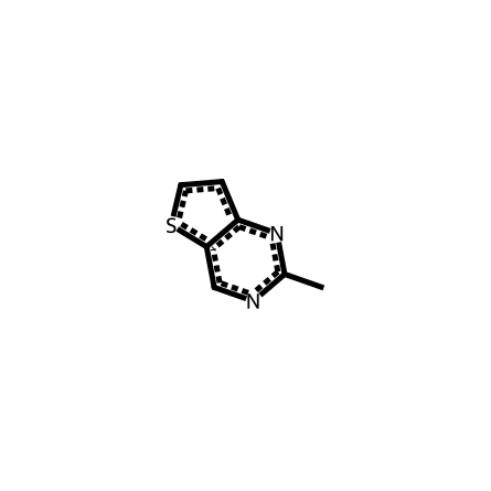 Cc1ncc2sccc2n1